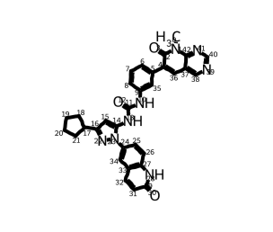 Cn1c(=O)c(-c2cccc(NC(=O)Nc3cc(C4CCCC4)nn3-c3ccc4[nH]c(=O)ccc4c3)c2)cc2cncnc21